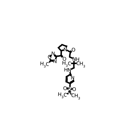 Cc1nc(C(=O)C2CCCN2C(=O)CNC(C)(C)CNc2ccc(S(=O)(=O)N(C)C)cn2)no1